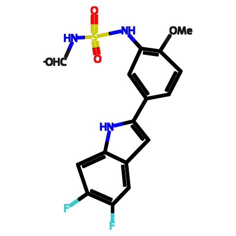 COc1ccc(-c2cc3cc(F)c(F)cc3[nH]2)cc1NS(=O)(=O)N[C]=O